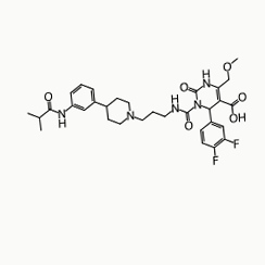 COCC1=C(C(=O)O)C(c2ccc(F)c(F)c2)N(C(=O)NCCCN2CCC(c3cccc(NC(=O)C(C)C)c3)CC2)C(=O)N1